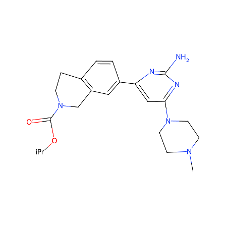 CC(C)OC(=O)N1CCc2ccc(-c3cc(N4CCN(C)CC4)nc(N)n3)cc2C1